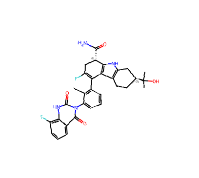 Cc1c(C2=C(F)C[C@H](C(N)=O)c3[nH]c4c(c32)CC[C@H](C(C)(C)O)C4)cccc1-n1c(=O)[nH]c2c(F)cccc2c1=O